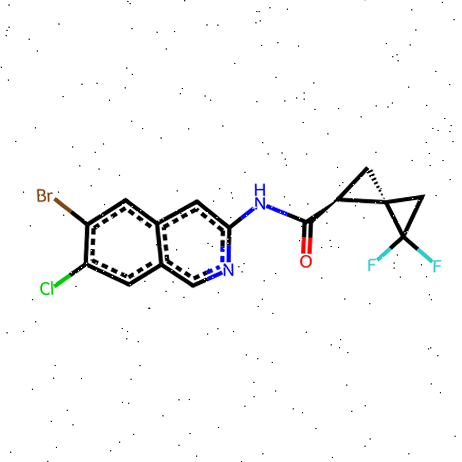 O=C(Nc1cc2cc(Br)c(Cl)cc2cn1)[C@H]1C[C@@]12CC2(F)F